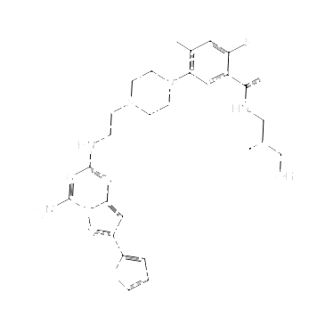 Nc1nc(NCCN2CCN(c3cc(C(=O)NC[C@H](O)CO)c(F)cc3F)CC2)nc2cc(-c3ccco3)nn12